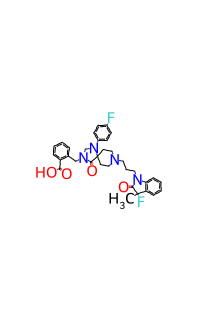 CC1(F)C(=O)N(CCCN2CCC3(CC2)C(=O)N(Cc2ccccc2C(=O)O)CN3c2ccc(F)cc2)c2ccccc21